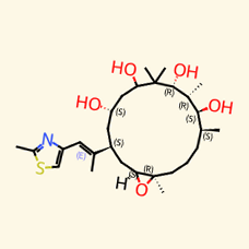 C/C(=C\c1csc(C)n1)[C@H]1C[C@H](O)CC(O)C(C)(C)[C@H](O)[C@H](C)[C@@H](O)[C@@H](C)CCC[C@@]2(C)O[C@H]2C1